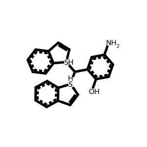 Nc1ccc(O)c(C([SH]2C=Cc3ccccc32)[SH]2C=Cc3ccccc32)c1